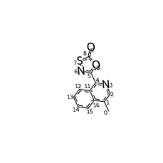 Cc1cnc(-c2nsc(=O)o2)c2ccccc12